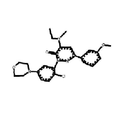 CCN(C)c1cc(-c2cccc(OC)c2)nn(-c2cc(N3CCOCC3)ccc2Cl)c1=O